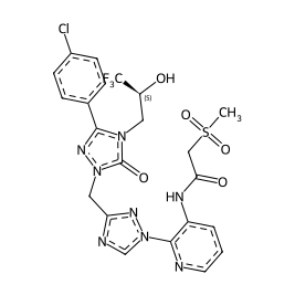 CS(=O)(=O)CC(=O)Nc1cccnc1-n1cnc(Cn2nc(-c3ccc(Cl)cc3)n(C[C@H](O)C(F)(F)F)c2=O)n1